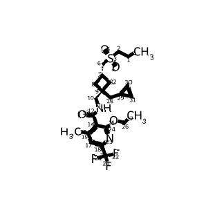 CCCS(=O)(=O)C[C@H]1C[C@@](CNC(=O)c2c(C)cc(C(F)(F)F)nc2OCC)(CC2CC2)C1